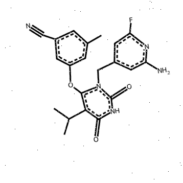 Cc1cc(C#N)cc(Oc2c(C(C)C)c(=O)[nH]c(=O)n2Cc2cc(N)nc(F)c2)c1